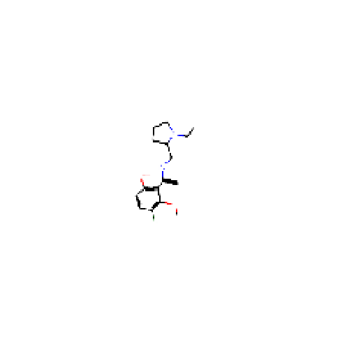 C=C(NCC1CCCN1CC)c1c(O)ccc(Br)c1OC